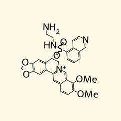 COc1ccc2cc3[n+](cc2c1OC)CCc1cc2c(cc1-3)OCO2.NCCNS(=O)(=O)c1cccc2cnccc12